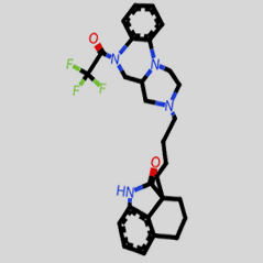 O=C(N1CC2CN(CCCCC34CCCc5cccc(c53)NC4=O)CCN2c2ccccc21)C(F)(F)F